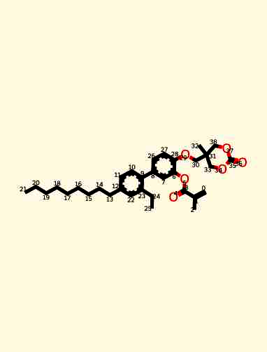 C=C(C)C(=O)Oc1cc(-c2ccc(CCCCCCCCC)cc2CC)ccc1OCC1(C)COC(=O)OC1